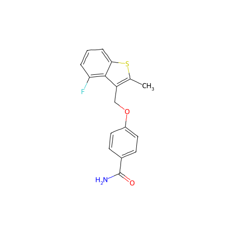 Cc1sc2cccc(F)c2c1COc1ccc(C(N)=O)cc1